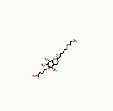 CCCCCCC/C=C/C1(C)CCc2c(C)c(OCCCC(=O)O)c(C)c(C)c2O1